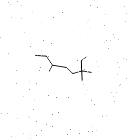 CCC([O])CCC(C)(Br)CBr